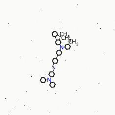 Cc1cccc(N(c2ccc(-c3ccc(/C=C/c4ccc(N(c5ccccc5)c5ccccc5)cc4)cc3)cc2)c2ccc3c(c2)C(C)(C)c2ccccc2-3)c1